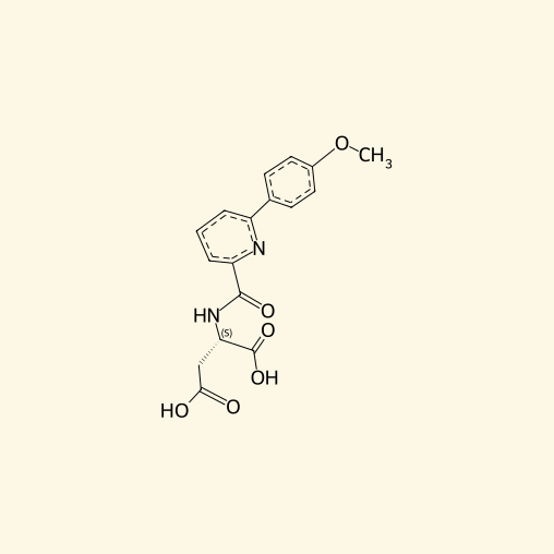 COc1ccc(-c2cccc(C(=O)N[C@@H](CC(=O)O)C(=O)O)n2)cc1